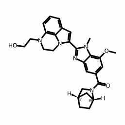 COc1cc(C(=O)N2C[C@H]3CC[C@@H]2C3)cc2nc(-c3cc4cccc5c4n3CCN5CCO)n(C)c12